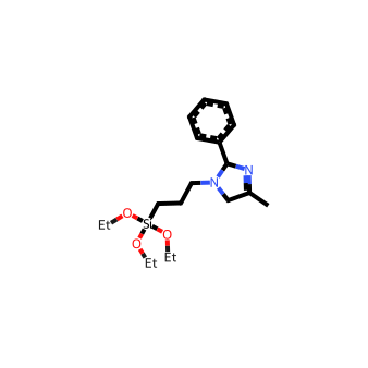 CCO[Si](CCCN1CC(C)=NC1c1ccccc1)(OCC)OCC